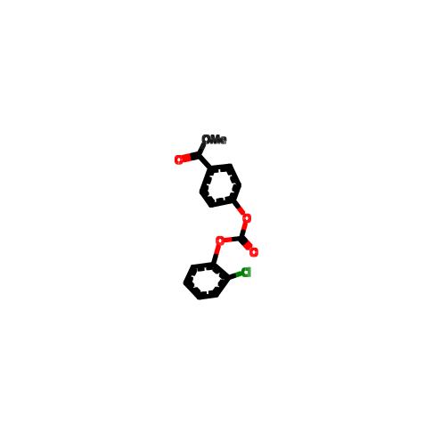 COC(=O)c1ccc(OC(=O)Oc2ccccc2Cl)cc1